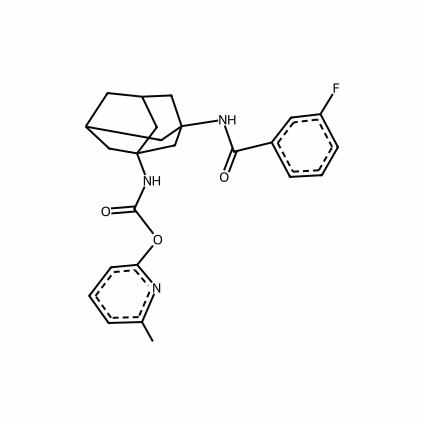 Cc1cccc(OC(=O)NC23CC4CC(C2)CC(NC(=O)c2cccc(F)c2)(C4)C3)n1